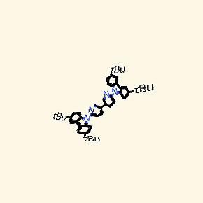 CC(C)(C)c1ccc2c(c1)c1cc(C(C)(C)C)ccc1n2-c1ccc(-c2ccc(-n3c4ccc(C(C)(C)C)cc4c4cc(C(C)(C)C)ccc43)nc2)cn1